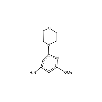 COc1cc(N)cc(N2CCOCC2)n1